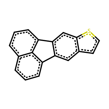 c1cc2c3c(cccc3c1)-c1cc3sccc3cc1-2